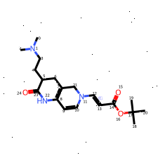 CN(C)CCC1CC2=C(C=CN(/C=C/C(=O)OC(C)(C)C)C2)NC1=O